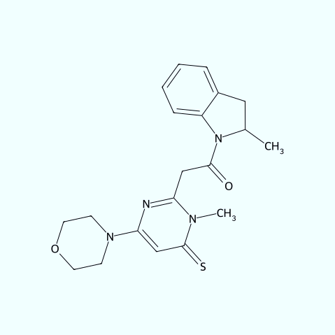 CC1Cc2ccccc2N1C(=O)Cc1nc(N2CCOCC2)cc(=S)n1C